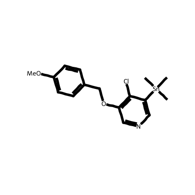 COc1ccc(COc2cnc[c]([Sn]([CH3])([CH3])[CH3])c2Cl)cc1